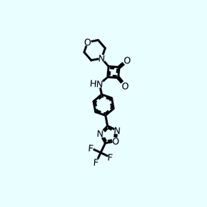 O=c1c(Nc2ccc(-c3noc(C(F)(F)F)n3)cc2)c(N2CCOCC2)c1=O